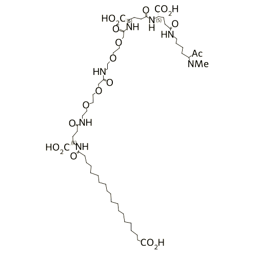 CNC(CCCCNC(=O)CC[C@H](NC(=O)CC[C@H](NC(=O)COCCOCCNC(=O)COCCOCCNC(=O)CC[C@H](NC(=O)CCCCCCCCCCCCCCCCCCC(=O)O)C(=O)O)C(=O)O)C(=O)O)C(C)=O